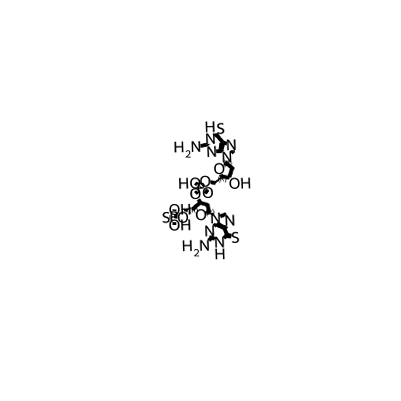 Nc1nc2c(ncn2[C@H]2CC(O)[C@@H](COP(=O)(O)OC3C[C@H](n4cnc5c(=S)[nH]c(N)nc54)O[C@@H]3COP(O)(O)=S)O2)c(=S)[nH]1